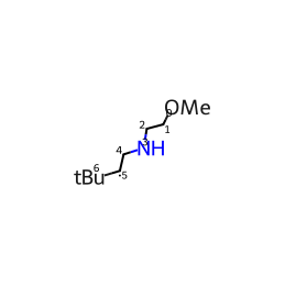 COCCNC[CH]C(C)(C)C